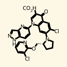 O=C(O)c1cn(-c2ccc3[nH]ncc3n2)c2cc(N3CCC[C@@H]3COc3ncccc3Cl)c(Cl)cc2c1=O